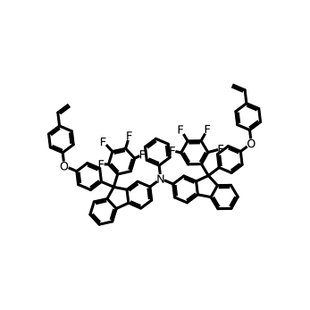 C=Cc1ccc(Oc2ccc(C3(c4cc(F)c(F)c(F)c4F)c4ccccc4-c4ccc(N(c5ccccc5)c5ccc6c(c5)C(c5ccc(Oc7ccc(C=C)cc7)cc5)(c5cc(F)c(F)c(F)c5F)c5ccccc5-6)cc43)cc2)cc1